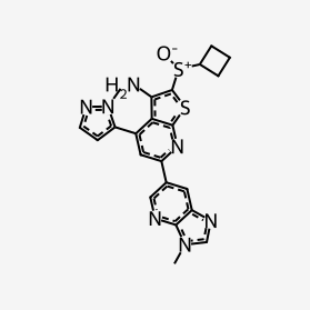 Cn1nccc1-c1cc(-c2cnc3c(c2)ncn3C)nc2sc([S+]([O-])C3CCC3)c(N)c12